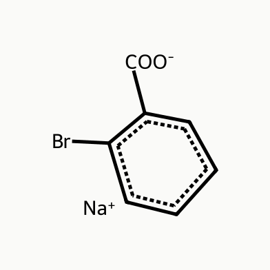 O=C([O-])c1ccccc1Br.[Na+]